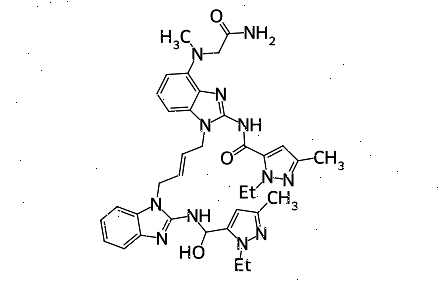 CCn1nc(C)cc1C(=O)Nc1nc2c(N(C)CC(N)=O)cccc2n1C/C=C/Cn1c(NC(O)c2cc(C)nn2CC)nc2ccccc21